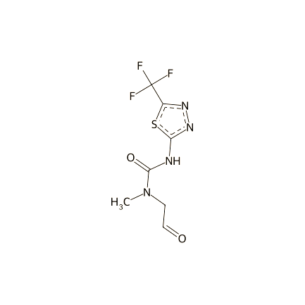 CN(CC=O)C(=O)Nc1nnc(C(F)(F)F)s1